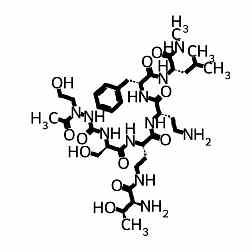 CNC(=O)[C@H](CC(C)C)NC(=O)[C@@H](Cc1ccccc1)NC(=O)[C@H](CCN)NC(=O)[C@H](CCNC(=O)[C@@H](N)[C@@H](C)O)NC(=O)[C@@H](CO)NC(=O)NN(CCO)C(C)=O